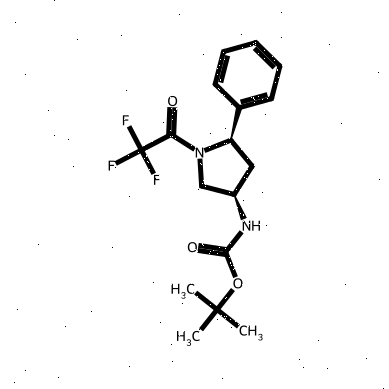 CC(C)(C)OC(=O)N[C@@H]1C[C@H](c2ccccc2)N(C(=O)C(F)(F)F)C1